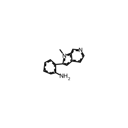 Cn1c(-c2ccccc2N)cc2ccncc21